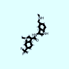 CNCc1ccc2[nH]cc(NC(=O)c3cn(C)c4cc(C(F)(F)F)ccc34)c2c1